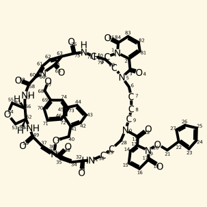 Cn1c(C(=O)N2CCCCN(C(=O)c3cccc(=O)n3OCc3ccccc3)CCCNC(=O)c3ccc(n(OCc4ccccc4)c3=O)C(=O)N[C@@H]3COC[C@@H]3NC(=O)c3ccc(c(=O)n3OCc3ccccc3)C(=O)NCCC2)cccc1=O